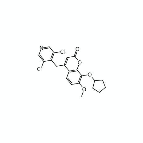 COc1ccc2c(Cc3c(Cl)cncc3Cl)cc(=O)oc2c1OC1CCCC1